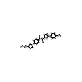 CNC1CCN(c2ccc(NC(=O)c3ccc(-c4ccc(C(C)C)cc4)o3)cc2)C1